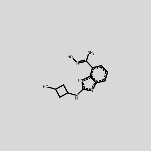 NC(=NO)c1cccc2nc(NC3CC(O)C3)[nH]c12